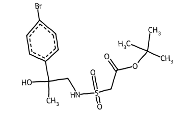 CC(C)(C)OC(=O)CS(=O)(=O)NCC(C)(O)c1ccc(Br)cc1